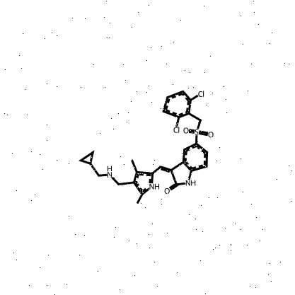 Cc1[nH]c(/C=C2\C(=O)Nc3ccc(S(=O)(=O)Cc4c(Cl)cccc4Cl)cc32)c(C)c1CNCC1CC1